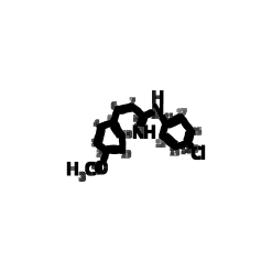 COc1ccc(/C=C\C(=N)Nc2ccc(Cl)cc2)cc1